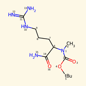 CN(C(=O)OC(C)(C)C)C(CCCNC(=N)N)C(N)=O